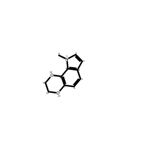 Cn1ccc2ccc3c(c21)OCCO3